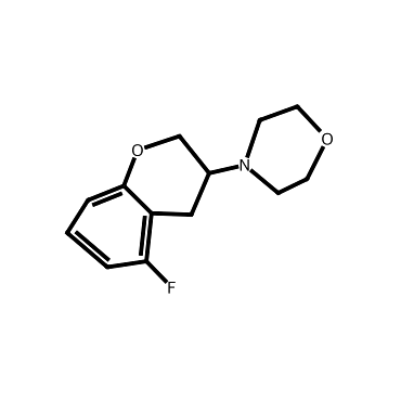 Fc1cccc2c1CC(N1CCOCC1)CO2